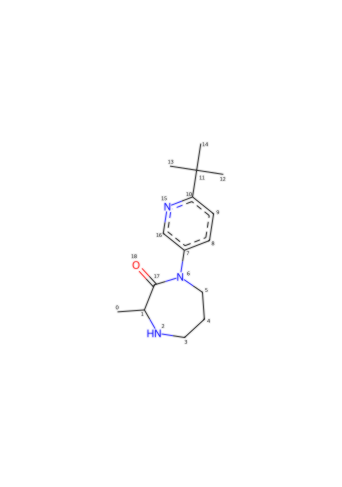 CC1NCCCN(c2ccc(C(C)(C)C)nc2)C1=O